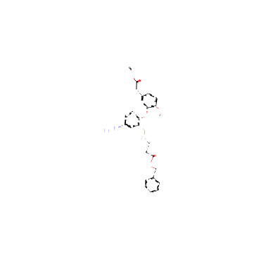 CCOC(=O)Cc1ccc(OC)c(Oc2ccc(N)cc2CNCCC(=O)OCc2ccccc2)c1